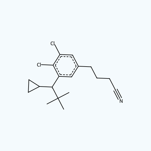 CC(C)(C)[C](c1cc(CCCC#N)cc(Cl)c1Cl)C1CC1